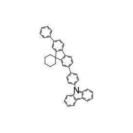 c1ccc(-c2ccc3c(c2)C2(CCCCC2)c2cc(-c4ccc(-n5c6ccccc6c6ccccc65)cc4)ccc2-3)cc1